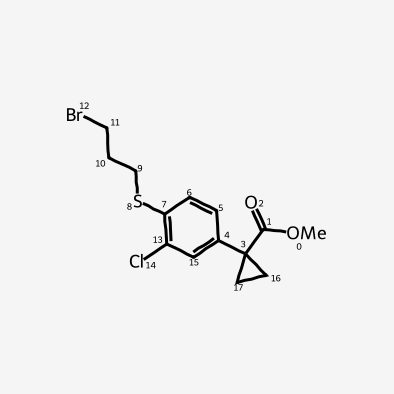 COC(=O)C1(c2ccc(SCCCBr)c(Cl)c2)CC1